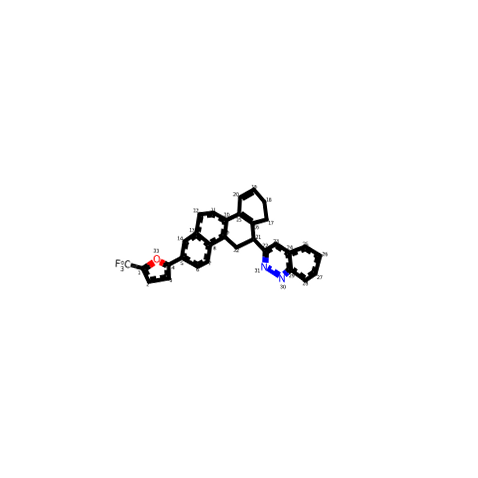 FC(F)(F)c1ccc(-c2ccc3c4c(ccc3c2)C2=C(CCC=C2)C(c2cc3ccccc3nn2)C4)o1